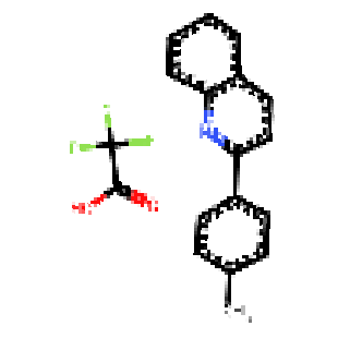 Cc1ccc(-c2ccc3ccccc3n2)cc1.O=C(O)C(F)(F)F